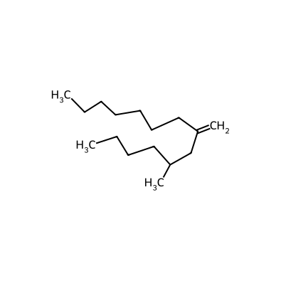 C=C(CCCCCCC)CC(C)CCCC